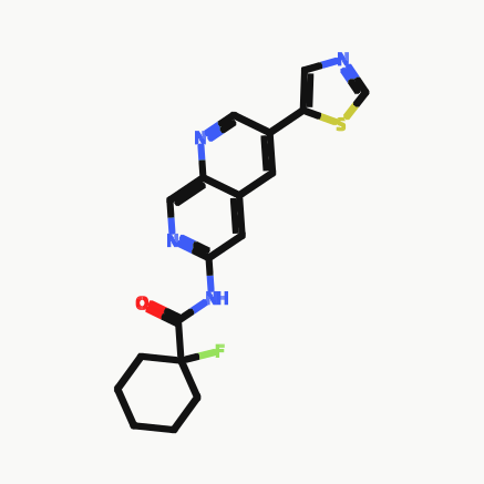 O=C(Nc1cc2cc(-c3cncs3)cnc2cn1)C1(F)CCCCC1